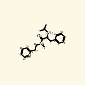 CC(C)NC(Cc1ccccc1)C(=O)N(C)CCc1ccccn1